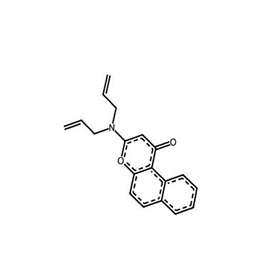 C=CCN(CC=C)c1cc(=O)c2c(ccc3ccccc32)o1